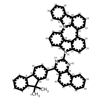 CC1(C)c2ccccc2-c2ccc(-c3nc(-n4c5cccc6c7cccc8c9ccccc9n(c9cccc4c9c65)c78)nc4c3ccc3ccccc34)cc21